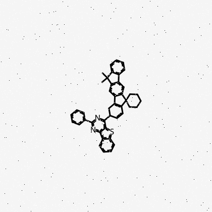 CC1(C)c2ccccc2-c2cc3c(cc21)C1=C(C=CC(c2nc(-c4ccccc4)nc4c2sc2ccccc24)C1)C31CCCCC1